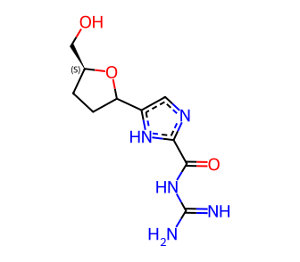 N=C(N)NC(=O)c1ncc(C2CC[C@@H](CO)O2)[nH]1